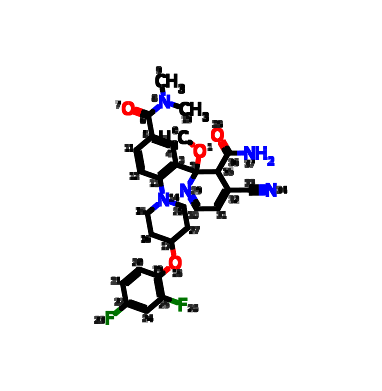 COC1(c2cc(C(=O)N(C)C)ccc2N2CCC(Oc3ccc(F)cc3F)CC2)N=CC=C(C#N)C1C(N)=O